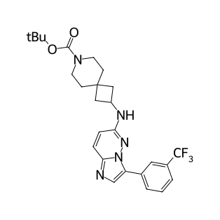 CC(C)(C)OC(=O)N1CCC2(CC1)CC(Nc1ccc3ncc(-c4cccc(C(F)(F)F)c4)n3n1)C2